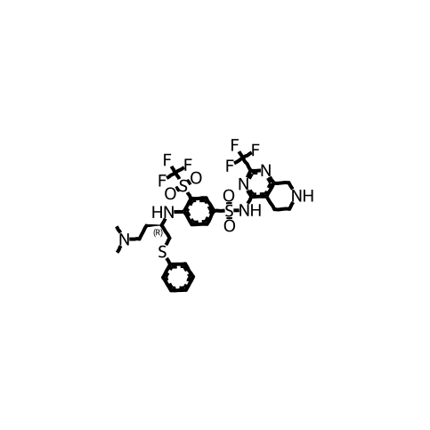 CN(C)CC[C@H](CSc1ccccc1)Nc1ccc(S(=O)(=O)Nc2nc(C(F)(F)F)nc3c2CCNC3)cc1S(=O)(=O)C(F)(F)F